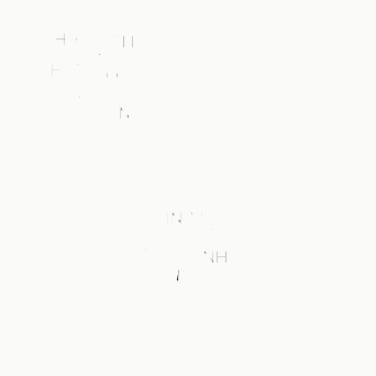 CC(C)(C)OC(=O)N1CCc2cc(NC(=O)[C@H](Cc3ccccc3)NC(=O)OCc3ccccc3)ccc2C1